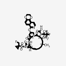 C[C@H]1CCC=C[C@@H]2C[C@@]2(C(=O)NS(=O)(=O)C2(CF)CC2)NC(=O)[C@@H]2C[C@@H](Oc3nccc4c5c(ccc34)OCCO5)CN2C(=O)[C@@H](N(C(=O)O)C(C)(C)C(F)(F)F)[C@H](C)C1